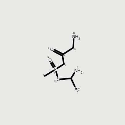 CC(=O)C(N)OP(C)(=O)CC(=O)CN